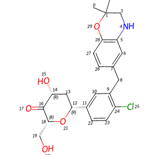 CC1(C)CNc2cc(Cc3cc([C@H]4C[C@@H](O)C(=O)[C@@H](CO)O4)ccc3Cl)ccc2O1